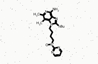 CCCCc1nc2c(N)nc(C)c(C)c2n1CCCC[S+]([O-])c1ncccn1